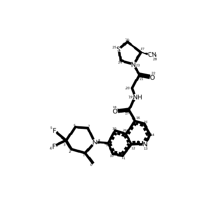 CC1CC(F)(F)CCN1c1ccc2nccc(C(=O)NCC(=O)N3CSC[C@H]3C#N)c2c1